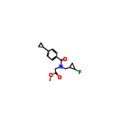 COC(=O)CN(CC1CC1F)C(=O)c1ccc(C2CC2)cc1